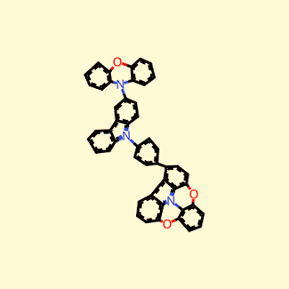 c1ccc2c(c1)Oc1ccccc1N2c1ccc2c(c1)c1ccccc1n2-c1ccc(-c2ccc3c4c2c2cccc5c2n4-c2c(cccc2O3)O5)cc1